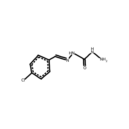 NNC(=O)NN=Cc1ccc(Cl)cc1